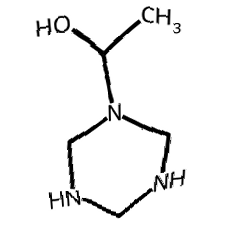 CC(O)N1CNCNC1